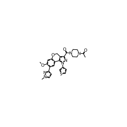 COc1cc2c(cc1-c1ccn(C)n1)-c1c(c(C(=O)N3CCN(C(C)=O)CC3)nn1-c1ccsc1)CO2